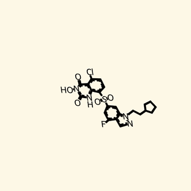 O=c1[nH]c2c(S(=O)(=O)c3cc(F)c4cnn(CCC5CCCC5)c4c3)ccc(Cl)c2c(=O)n1O